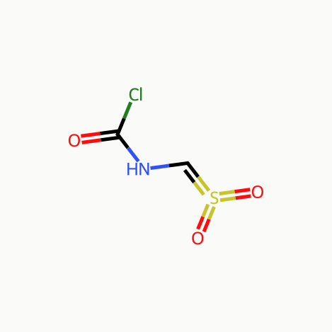 O=C(Cl)NC=S(=O)=O